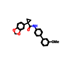 COc1cccc(-c2ccc(NC(=O)C3(c4ccc5c(c4)OCO5)CC3)cc2)c1